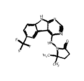 CC1(C)CCC(=O)N1Nc1ncnc2[nH]c3ccc(C(F)(F)F)cc3c12